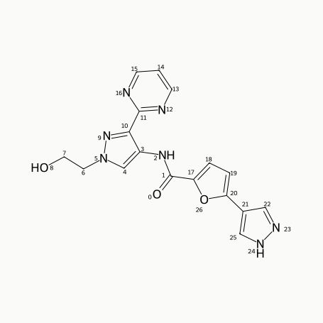 O=C(Nc1cn(CCO)nc1-c1ncccn1)c1ccc(-c2cn[nH]c2)o1